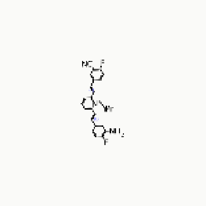 CC(C)C[n+]1c(/C=C/c2ccc(F)c(N)c2)cccc1/C=C/c1ccc(F)c(C#N)c1